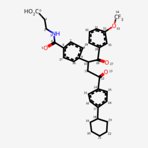 O=C(O)CCNC(=O)c1ccc(C(CC(=O)c2ccc(C3CCCCC3)cc2)C(=O)c2cccc(OC(F)(F)F)c2)cc1